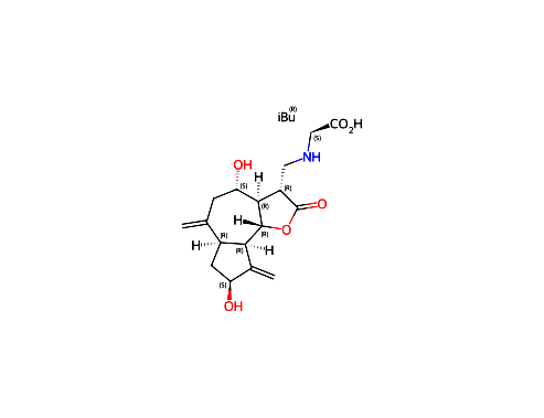 C=C1[C@@H]2[C@H]3OC(=O)[C@@H](CN[C@H](C(=O)O)[C@H](C)CC)[C@@H]3[C@@H](O)CC(=C)[C@@H]2C[C@@H]1O